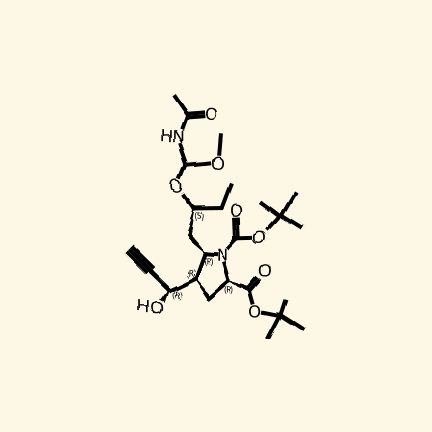 C#C[C@H](O)[C@@H]1C[C@H](C(=O)OC(C)(C)C)N(C(=O)OC(C)(C)C)[C@@H]1C[C@H](CC)OC(NC(C)=O)OC